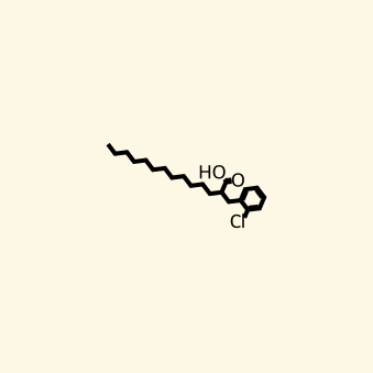 CCCCCCCCCCCCC(Cc1ccccc1Cl)C(=O)O